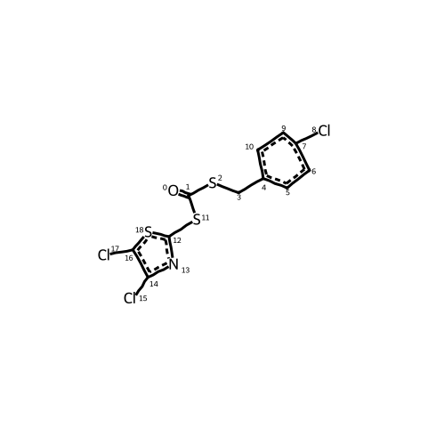 O=C(SCc1ccc(Cl)cc1)Sc1nc(Cl)c(Cl)s1